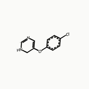 Clc1ccc(OC2=CN=[C]NC2)cc1